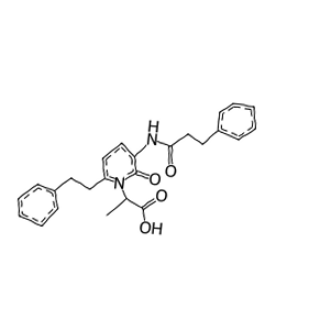 CC(C(=O)O)n1c(CCc2ccccc2)ccc(NC(=O)CCc2ccccc2)c1=O